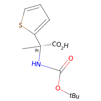 CC(C)(C)OC(=O)N[C@](C)(C(=O)O)c1cccs1